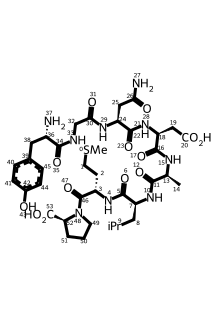 CSCC[C@H](NC(=O)[C@H](CC(C)C)NC(=O)[C@H](C)NC(=O)[C@H](CC(=O)O)NC(=O)[C@H](CC(N)=O)NC(=O)CNC(=O)[C@@H](N)Cc1ccc(O)cc1)C(=O)N1CCC[C@H]1C(=O)O